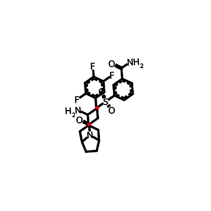 NC(=O)c1cccc(S(=O)(=O)CCC(=O)N2C3CCC2CC(C(N)Cc2cc(F)c(F)cc2F)C3)c1